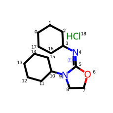 C1CCC(/N=C2/OCCN2C2CCCCC2)CC1.Cl